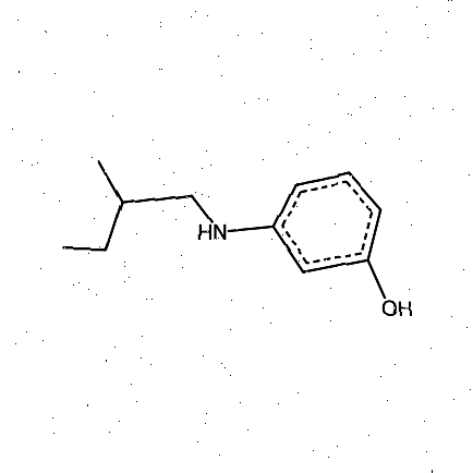 CCC(C)CNc1cccc(O)c1